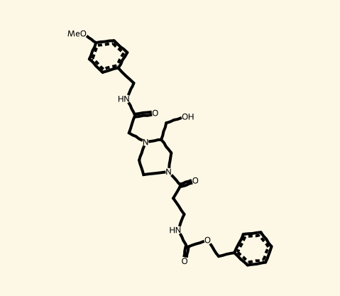 COc1ccc(CNC(=O)CN2CCN(C(=O)CCNC(=O)OCc3ccccc3)CC2CO)cc1